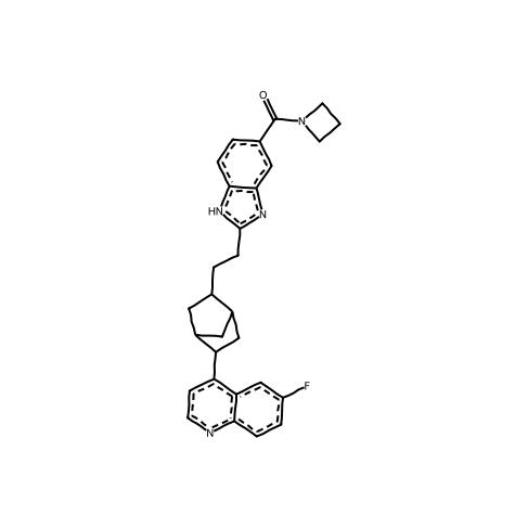 O=C(c1ccc2[nH]c(CCC3CC4CC3CC4c3ccnc4ccc(F)cc34)nc2c1)N1CCC1